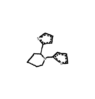 c1csc(C2CCCCN2c2cccs2)c1